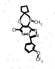 CN1CC2(CCCC2)COc2c(Cl)nn3c(-c4cccc(OC(F)(F)F)c4)nnc3c21